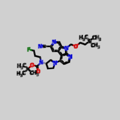 CC(C)(C)OC(=O)N(CCCF)[C@H]1CCN(c2ccnc3c2c2cc(C#N)ncc2n3COCC[Si](C)(C)C)C1